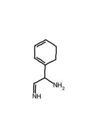 N=CC(N)C1=CC=CCC1